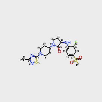 CC(C)c1nsc(N2CCC(N3CC[C@@H](NC4=CC=C(S(C)(=O)=O)CC4F)C3=O)CC2)n1